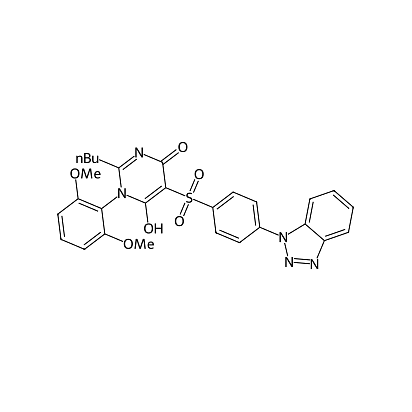 CCCCc1nc(=O)c(S(=O)(=O)c2ccc(-n3nnc4ccccc43)cc2)c(O)n1-c1c(OC)cccc1OC